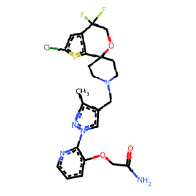 Cc1nn(-c2ncccc2OCC(N)=O)cc1CN1CCC2(CC1)OCC(F)(F)c1cc(Cl)sc12